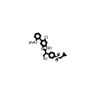 CC(=O)CC(c1ccc(S(=O)(=O)CC2CC2)cc1)c1nc2cc(-c3ccccc3OC(C)C)c(Cl)cc2[nH]1